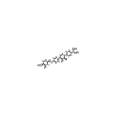 CCCC(O)c1ccc(-c2ccc(-c3ccc(COc4ccc(O)c(F)c4)cc3)c(F)c2F)cc1